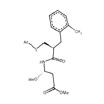 COC(=O)C[C@@H](NC(=O)[C@@H](CSC(C)=O)Cc1ccccc1C)OC